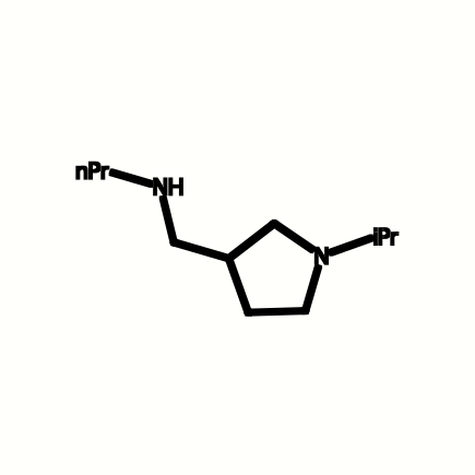 CCCNCC1CCN(C(C)C)C1